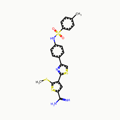 CSc1sc(C(=N)N)cc1-c1nc(-c2ccc(NS(=O)(=O)c3ccc(C)cc3)cc2)cs1